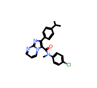 CC(C)c1ccc(-c2nc3ncccn3c2C(=O)N(C)c2ccc(Cl)cc2)cc1